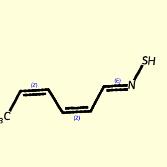 C\C=C/C=C\C=N\S